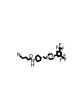 N#CCCCC(=O)N[C@H]1CC[C@H](CCN2CCN(c3cc(C(F)(F)F)cc(C(F)(F)F)c3)CC2)CC1